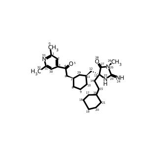 Cc1cc(C(=O)C[C@@H]2CCC[C@H](C[C@@]3(CCC4CCCCC4)NC(=N)N(C)C3=O)C2)cc(C)n1